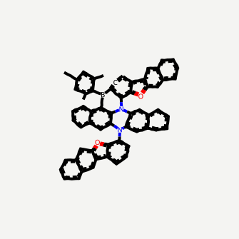 Cc1cc(C)c(B2c3ccc4c(oc5cc6ccccc6cc54)c3N3c4cc5ccccc5cc4N(c4cccc5c4oc4cc6ccccc6cc45)c4cc5ccccc5c2c43)c(C)c1